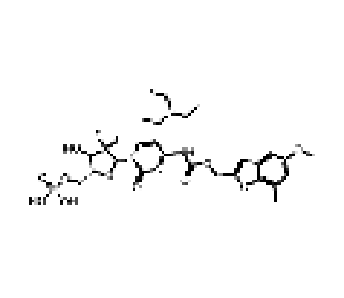 CCN(CC)CC.COc1cc(C)c2oc(COC(=O)Nc3ccn([C@@H]4O[C@H](COP(=O)(O)O)[C@@H](O)C4(F)F)c(=O)n3)cc2c1